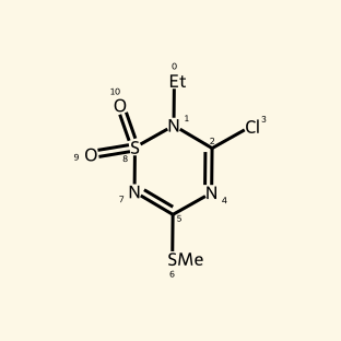 CCN1C(Cl)=NC(SC)=NS1(=O)=O